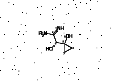 Cl.N=C(N)CC1(O)CC1